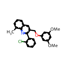 COc1cc(OC)cc(OCc2cc3cccc(C)c3nc2-c2ccccc2Cl)c1